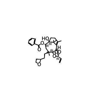 C=C[C@@H]1O[C@@H]2C3=C(C)CC[C@@](O)([C@@H](OC(=O)c4ccccc4)C[C@@](C)(CCC4CCO4)[C@@H]2O1)C3(C)C